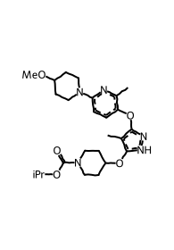 COC1CCN(c2ccc(Oc3n[nH]c(OC4CCN(C(=O)OC(C)C)CC4)c3C)c(C)n2)CC1